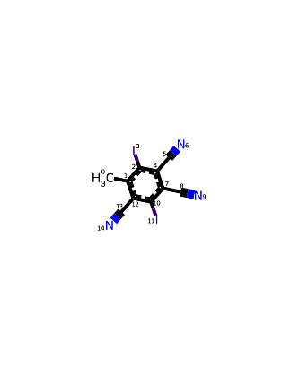 Cc1c(I)c(C#N)c(C#N)c(I)c1C#N